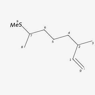 [CH]=CC(C)CCCC(C)SC